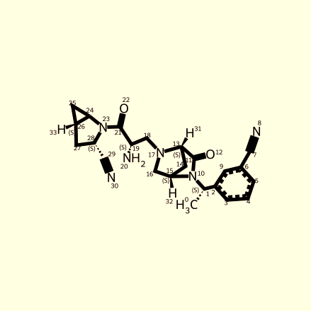 C[C@@H](c1cccc(C#N)c1)N1C(=O)[C@@H]2C[C@H]1CN2C[C@H](N)C(=O)N1C2C[C@H]2C[C@H]1C#N